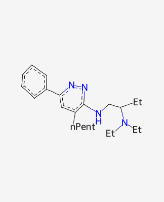 CCCCCc1cc(-c2ccccc2)nnc1NCC(CC)N(CC)CC